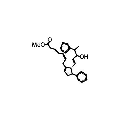 COC(=O)CCC/C=C\CC1=CCC(c2ccccc2)[C@H]1/C=C/C(O)C(C)c1ccccc1